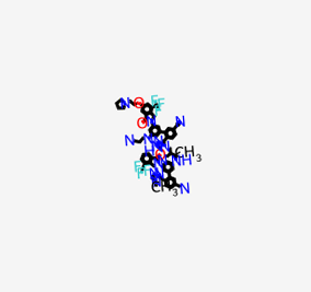 C[C@@H](Nc1cc(-c2cc(C#N)ccc2-c2nncn2C)cc(N2Cc3c(cccc3C(F)(F)F)C2=O)c1)C(C#N)Cn1cnnc1-c1ccc(C#N)cc1-c1cc(NCCC#N)cc(N2Cc3c(cc(OCCN4CCCC4)cc3C(F)(F)F)C2=O)c1